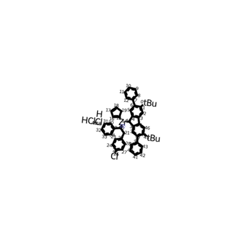 CC(C)(C)c1cc2c(cc1-c1ccccc1)[CH](/[Zr]([C]1=CC=CC1)=[C](\Cc1ccc(Cl)cc1)c1ccccc1)c1cc(-c3ccccc3)c(C(C)(C)C)cc1-2.Cl.Cl